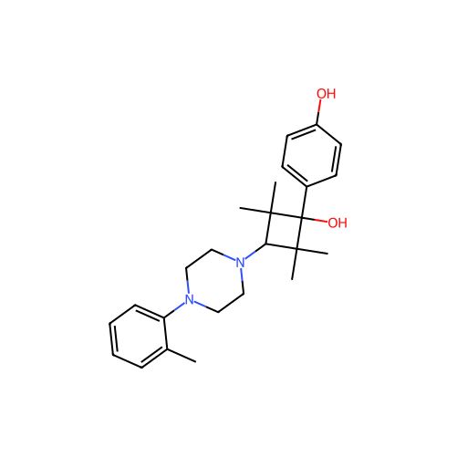 Cc1ccccc1N1CCN(C2C(C)(C)C(O)(c3ccc(O)cc3)C2(C)C)CC1